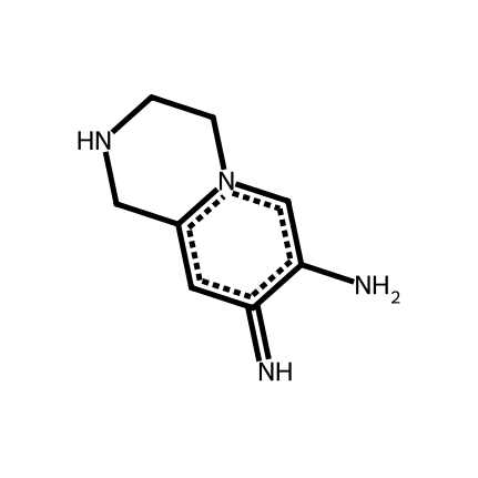 N=c1cc2n(cc1N)CCNC2